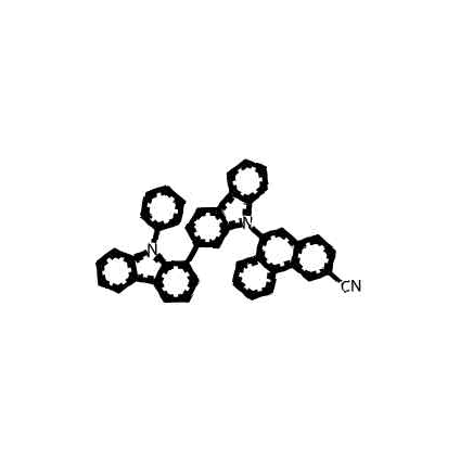 N#Cc1ccc2cc(-n3c4ccccc4c4ccc(-c5cccc6c7ccccc7n(-c7ccccc7)c56)cc43)c3ccccc3c2c1